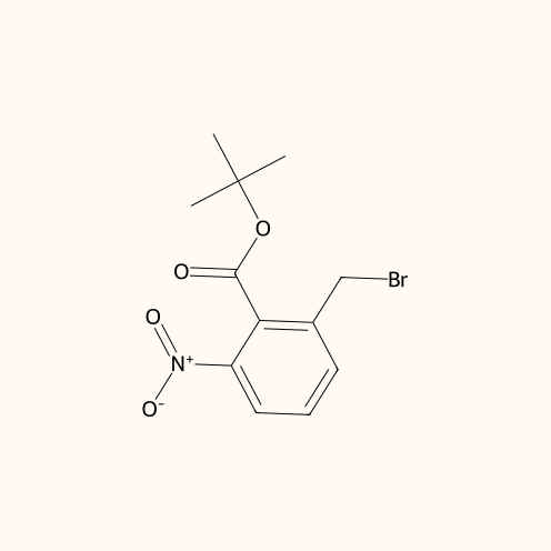 CC(C)(C)OC(=O)c1c(CBr)cccc1[N+](=O)[O-]